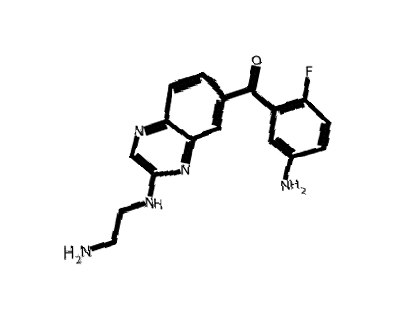 NCCNc1cnc2ccc(C(=O)c3cc(N)ccc3F)cc2n1